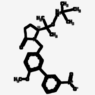 COc1ccc(CN2C(=O)CC[C@H]2C(C)(C)O[SiH2]C(C)(C)C)cc1-c1cccc([N+](=O)[O-])c1